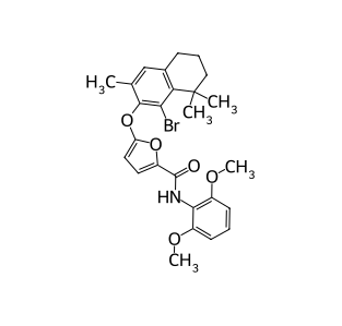 COc1cccc(OC)c1NC(=O)c1ccc(Oc2c(C)cc3c(c2Br)C(C)(C)CCC3)o1